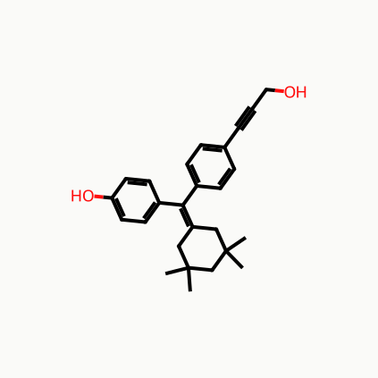 CC1(C)CC(=C(c2ccc(O)cc2)c2ccc(C#CCO)cc2)CC(C)(C)C1